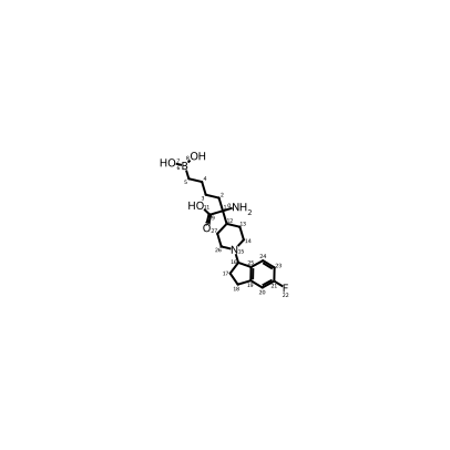 NC(CCCCB(O)O)(C(=O)O)C1CCN(C2CCc3cc(F)ccc32)CC1